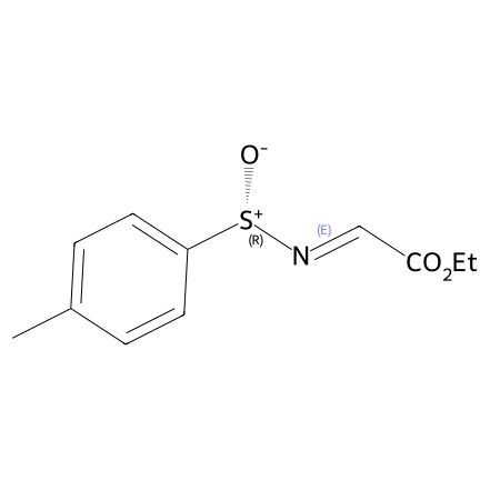 CCOC(=O)/C=N/[S@@+]([O-])c1ccc(C)cc1